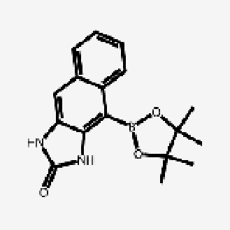 CC1(C)OB(c2c3ccccc3cc3[nH]c(=O)[nH]c23)OC1(C)C